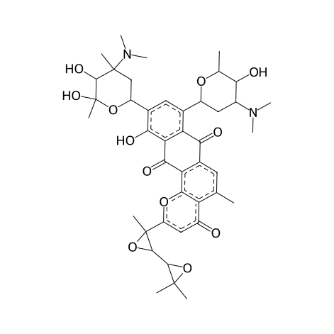 Cc1cc2c(c3oc(C4(C)OC4C4OC4(C)C)cc(=O)c13)C(=O)c1c(O)c(C3CC(C)(N(C)C)C(O)C(C)(O)O3)cc(C3CC(N(C)C)C(O)C(C)O3)c1C2=O